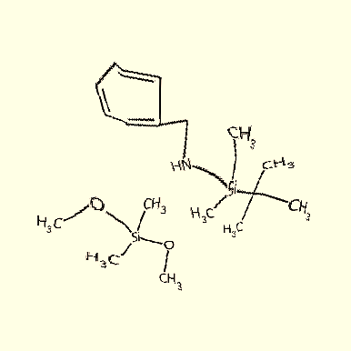 CC(C)(C)[Si](C)(C)NCc1ccccc1.CO[Si](C)(C)OC